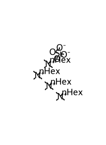 CCCCCC[N+](C)(C)C.CCCCCC[N+](C)(C)C.CCCCCC[N+](C)(C)C.CCCCCC[N+](C)(C)C.[O-][Si]([O-])([O-])[O-]